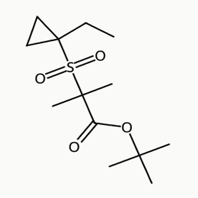 CCC1(S(=O)(=O)C(C)(C)C(=O)OC(C)(C)C)CC1